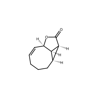 O=C1O[C@@H]2/C=C\CCC[C@@H]3[C@H]1[C@@H]32